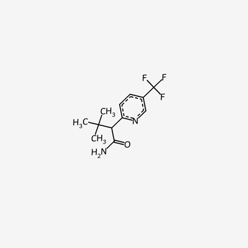 CC(C)(C)C(C(N)=O)c1ccc(C(F)(F)F)cn1